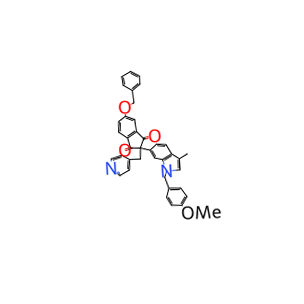 COc1ccc(Cn2cc(C)c3ccc(C4(Cc5ccncc5)C(=O)c5ccc(OCc6ccccc6)cc5C4=O)cc32)cc1